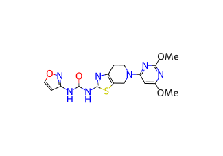 COc1cc(N2CCc3nc(NC(=O)Nc4ccon4)sc3C2)nc(OC)n1